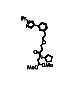 COC(CN(C(=O)CCOCCc1cccc(-c2cnn(C(C)C)c2)c1)C1CCCC1)OC